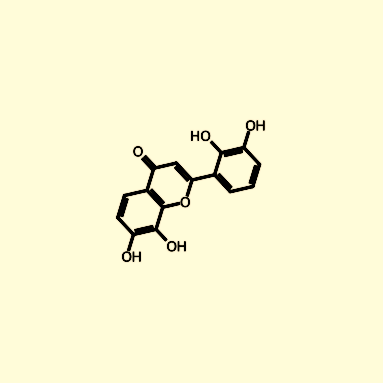 O=c1cc(-c2cccc(O)c2O)oc2c(O)c(O)ccc12